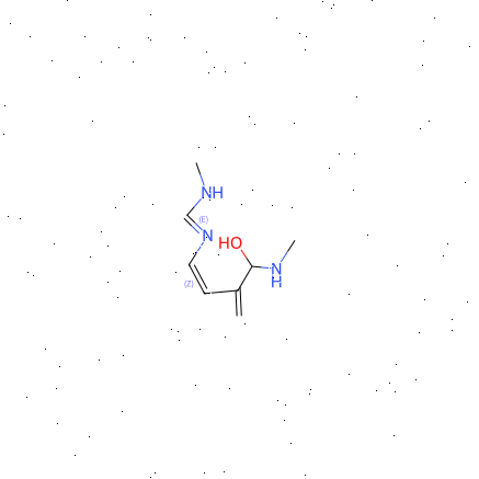 C=C(/C=C\N=C\NC)C(O)NC